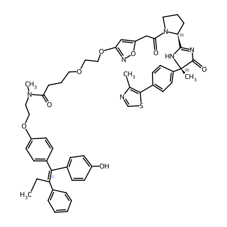 CC/C(=C(/c1ccc(O)cc1)c1ccc(OCCN(C)C(=O)CCCOCCOc2cc(CC(=O)N3CCC[C@H]3C3=NC(=O)[C@](C)(c4ccc(-c5scnc5C)cc4)N3)on2)cc1)c1ccccc1